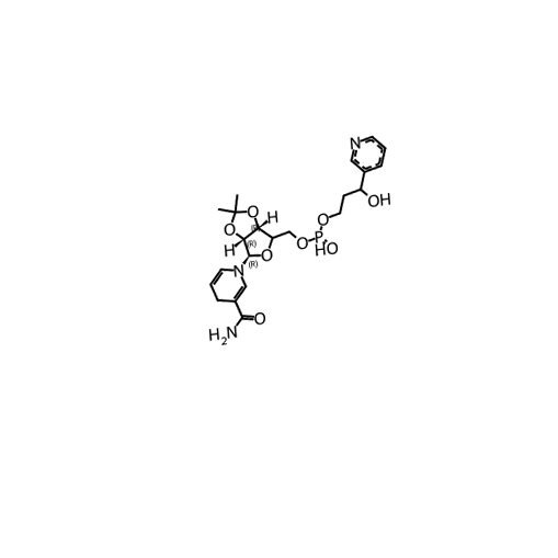 CC1(C)O[C@@H]2[C@H](O1)C(CO[PH](=O)OCCC(O)c1cccnc1)O[C@H]2N1C=CCC(C(N)=O)=C1